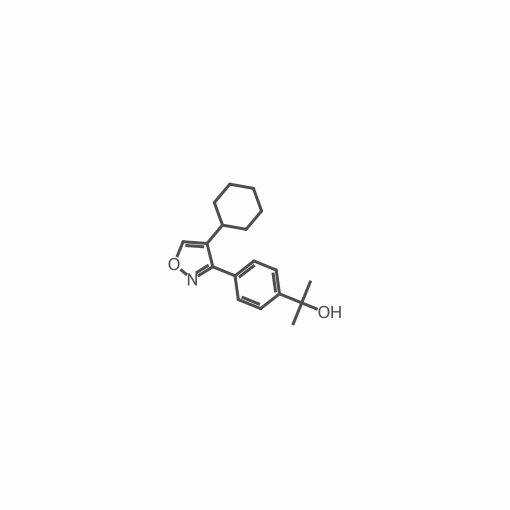 CC(C)(O)c1ccc(-c2nocc2C2CCCCC2)cc1